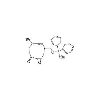 CC(C)C1/C=C\C(CO[Si](c2ccccc2)(c2ccccc2)C(C)(C)C)CC2OC2C(=O)CC1